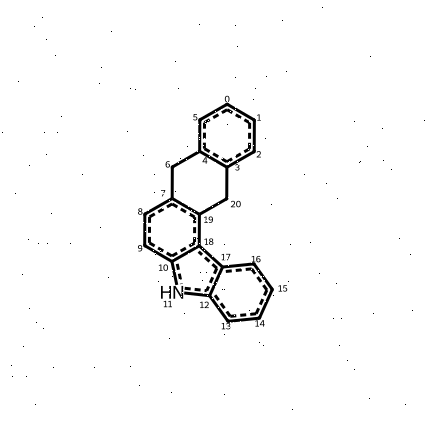 c1ccc2c(c1)Cc1ccc3[nH]c4ccccc4c3c1C2